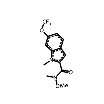 CON(C)C(=O)c1cc2ccc(OC(F)(F)F)cc2n1C